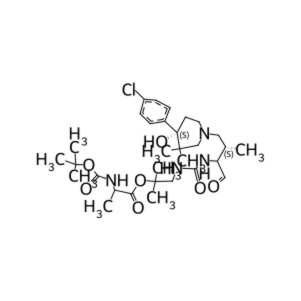 CC(NC(=O)OC(C)(C)C)C(=O)OC(C)(C)CNC(=O)NC(C=O)[C@@H](C)CN1CC[C@](O)(c2ccc(Cl)cc2)C(C)(C)C1